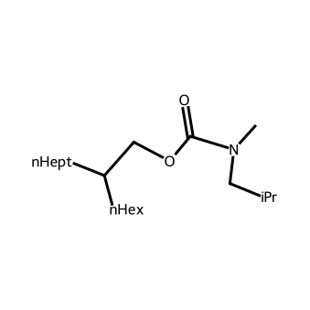 CCCCCCCC(CCCCCC)COC(=O)N(C)CC(C)C